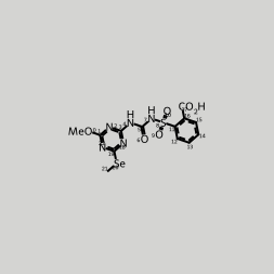 COc1nc(NC(=O)NS(=O)(=O)c2ccccc2C(=O)O)nc([Se]C)n1